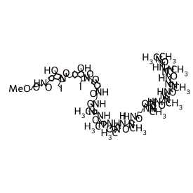 COCCOCCNC(=O)c1ccc2c(O)cc3c(c2c1)C(CI)CN3C(=O)Cc1ccc2c(O)cc3c(c2c1)C(CI)CN3C(=O)c1cc2cc(NC(=O)CCNC(=O)c3cc(NC(=O)c4cc(NC(=O)c5cc(NC(=O)c6cc(NC(=O)CCCNC(=O)c7nc(NC(=O)c8nc(NC(=O)c9nc(NC(=O)c%10nc(NC(=O)CN(C)C)cn%10C)cn9C)cn8C)cn7C)cn6C)cn5C)cn4C)cn3C)ccc2o1